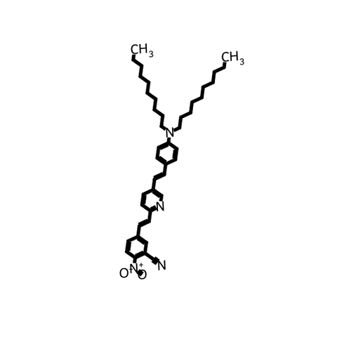 CCCCCCCCCCN(CCCCCCCCCC)c1ccc(C=Cc2ccc(C=Cc3ccc([N+](=O)[O-])c(C#N)c3)nc2)cc1